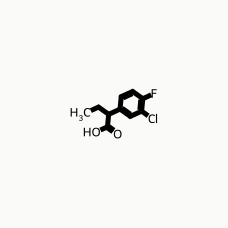 CCC(C(=O)O)c1ccc(F)c(Cl)c1